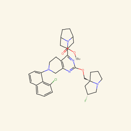 CC(C)(C)OC(=O)N1C2CCC1CC(c1nc(OC[C@@]34CCCN3C[C@H](F)C4)nc3c1CCN(c1cccc4cccc(Cl)c14)C3)C2